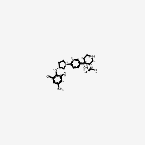 Cc1cc(Cl)c(O[C@@H]2CCN(c3ccc([C@@]4(O)CCNC[C@@H]4C(=O)O)cn3)C2)c(Cl)c1